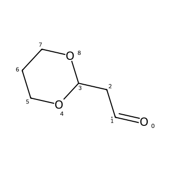 O=[C]CC1OCCCO1